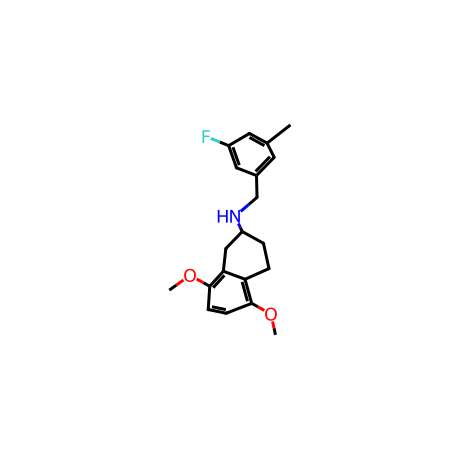 COc1ccc(OC)c2c1CCC(NCc1cc(C)cc(F)c1)C2